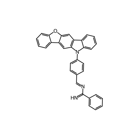 N=C(/N=C/c1ccc(-n2c3ccccc3c3cc4oc5ccccc5c4cc32)cc1)c1ccccc1